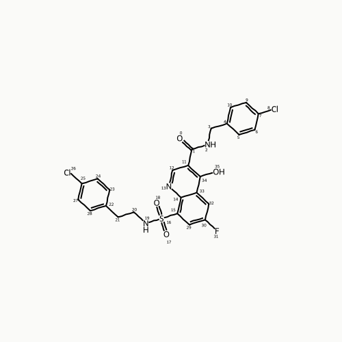 O=C(NCc1ccc(Cl)cc1)c1cnc2c(S(=O)(=O)NCCc3ccc(Cl)cc3)cc(F)cc2c1O